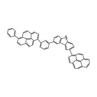 c1ccc(-c2ccc3ccc4c(-c5cccc(-c6ccc7sc8ccc(-c9ccc%10ccc%11cccc%12ccc9c%10c%11%12)cc8c7c6)c5)ccc5ccc2c3c54)cc1